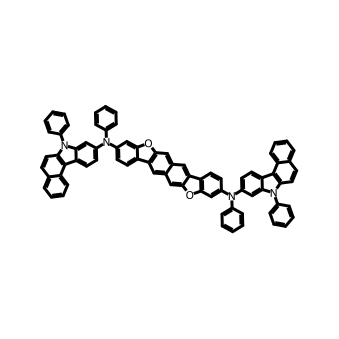 c1ccc(N(c2ccc3c(c2)oc2cc4cc5c(cc4cc23)oc2cc(N(c3ccccc3)c3ccc4c6c7ccccc7ccc6n(-c6ccccc6)c4c3)ccc25)c2ccc3c4c5ccccc5ccc4n(-c4ccccc4)c3c2)cc1